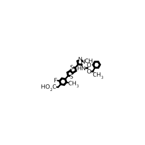 Cc1cc(CC(=O)O)c(F)cc1-c1cc2sc(-c3cnn(C)c3NC(=O)O[C@H](C)c3ccccc3)cc2s1